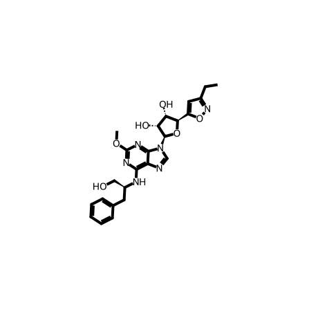 CCc1cc([C@H]2O[C@@H](n3cnc4c(N[C@H](CO)Cc5ccccc5)nc(OC)nc43)[C@H](O)[C@@H]2O)on1